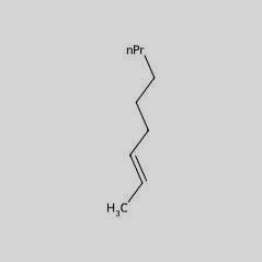 [CH2]CCCCCC=CC